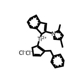 Cc1cc(C)n(C2=Cc3ccccc3[CH]2[Ti+2][C]2=C(Cc3ccccc3)C=CC2)c1.[Cl-].[Cl-]